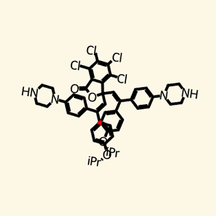 CC(C)Oc1ccc(C(=CC2(C=C(c3ccc(OC(C)C)cc3)c3ccc(N4CCNCC4)cc3)OC(=O)c3c(Cl)c(Cl)c(Cl)c(Cl)c32)c2ccc(N3CCNCC3)cc2)cc1